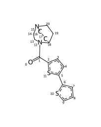 O=C(c1ccc(-c2cccs2)s1)N1CCN2CCC1CC2